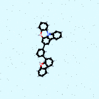 c1cc(-c2cc3c4c(c2)c2ccccc2n4-c2ccccc2O3)cc(-c2cccc3c2oc2ccccc23)c1